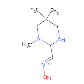 CN1CC(C)(C)CNC1/C=N/O